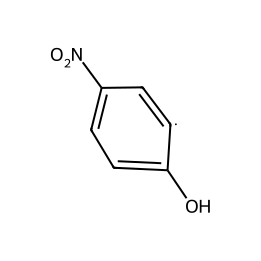 O=[N+]([O-])c1c[c]c(O)cc1